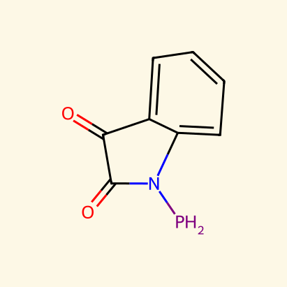 O=C1C(=O)N(P)c2ccccc21